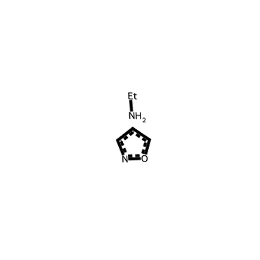 CCN.c1cnoc1